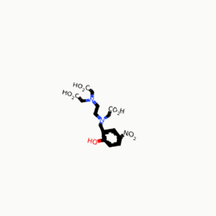 O=C(O)CN(CCN(CC(=O)O)Cc1cc([N+](=O)[O-])ccc1O)CC(=O)O